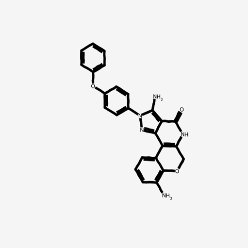 Nc1cccc2c1OCc1[nH]c(=O)c3c(N)n(-c4ccc(Oc5ccccc5)cc4)nc3c1-2